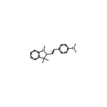 CN(C)c1ccc(/C=C/C2N(C)c3ccccc3C2(C)C)cc1